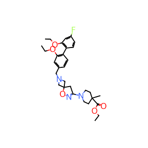 CCOC(=O)C1(C)CCN(C2=NOC3(C2)CN(Cc2ccc(-c4ccc(F)cc4OCC)c(OCC)c2)C3)CC1